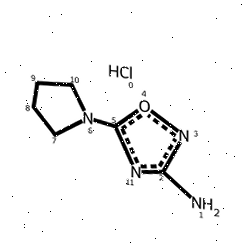 Cl.Nc1noc(N2CCCC2)n1